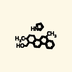 Cc1cc2c3c(ccc2c2ccccc12)C(CO)C(C)CC3.c1cc[nH]c1